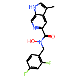 Cc1c[nH]c2cnc(C(=O)N(O)Cc3ccc(F)cc3F)cc12